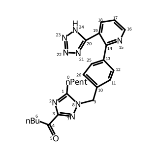 CCCCCc1nc(C(=O)CCCC)nn1Cc1ccc(-c2ncccc2-c2nnn[nH]2)cc1